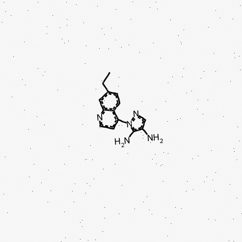 CCc1ccc2c(-n3ncc(N)c3N)ccnc2c1